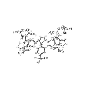 CC(C)[C@H](NC(=O)O)C(=O)N1CCC[C@@]1(C(N)=O)c1ccc(-c2ccc(-c3ccc([C@]4(C(N)=O)CCCN4C(=O)[C@@H](NC(=O)O)C(C)C)cc3)n2-c2ccc(C(F)(F)F)cc2)cc1